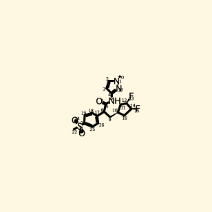 Cn1ccc(NC(=O)C(C[C@H]2C[C@@H](F)[C@@H](F)C2)c2ccc(S(C)(=O)=O)cc2)n1